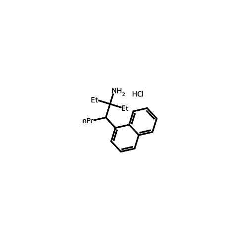 CCCC(c1cccc2ccccc12)C(N)(CC)CC.Cl